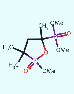 COP1(=O)OC(C)(P(=O)(OC)OC)CC1(C)C